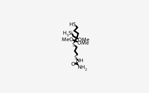 COC(C[SiH3])(CCCS)C(OC)(OC)SCCCSNC(N)=O